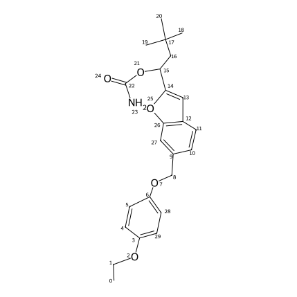 CCOc1ccc(OCc2ccc3cc(C(CC(C)(C)C)OC(N)=O)oc3c2)cc1